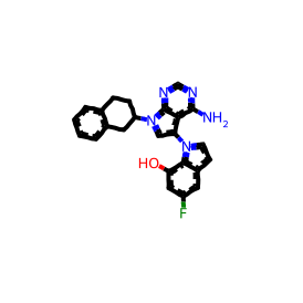 Nc1ncnc2c1c(-n1ccc3cc(F)cc(O)c31)cn2C1CCc2ccccc2C1